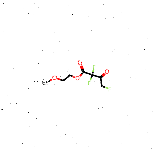 CCOCCOC(=O)C(F)(F)C(=O)CF